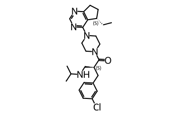 CC[C@H]1CCc2ncnc(N3CCN(C(=O)[C@H](CNC(C)C)Cc4cccc(Cl)c4)CC3)c21